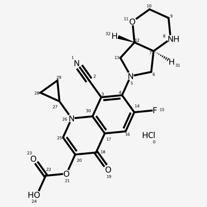 Cl.N#Cc1c(N2C[C@@H]3NCCO[C@H]3C2)c(F)cc2c(=O)c(OC(=O)O)cn(C3CC3)c12